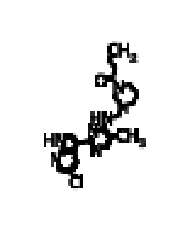 C=CCC(=O)N1CCC[C@@H](CNc2nc(-c3c[nH]c4ncc(Cl)cc34)ncc2C)C1